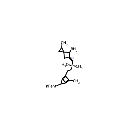 BC1/C(=C/S(C)(C)CCC2=C3C(=C2C)C3CCCCC)CC12CC2C